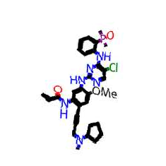 C=CC(=O)Nc1cc(Nc2ncc(Cl)c(Nc3ccccc3P(C)(C)=O)n2)c(OC)cc1C#CCN(C)C1CCCC1